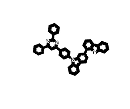 c1ccc(-c2cc(-c3ccc(-n4c5ccccc5c5ccc(-c6cccc7c6oc6ccccc67)cc54)cc3)nc(-c3ccccc3)n2)cc1